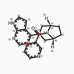 O=C(c1cccnc1)N1[C@@H]2CC[C@H]1CN(c1ncnc3[nH]ccc13)C2